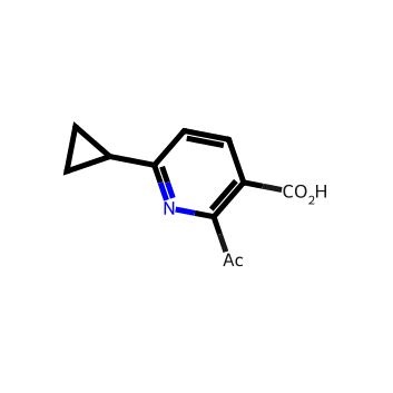 CC(=O)c1nc(C2CC2)ccc1C(=O)O